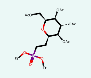 CCOP(=O)(CC[C@H]1O[C@@H](COC(C)=O)[C@@H](OC(C)=O)[C@H](OC(C)=O)[C@H]1OC(C)=O)OCC